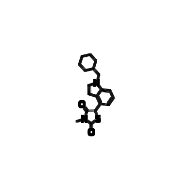 CN1C(=O)SC(c2cccc3c2ccn3CC2CCCCC2)C1=O